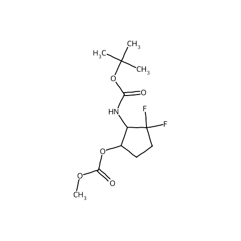 COC(=O)OC1CCC(F)(F)C1NC(=O)OC(C)(C)C